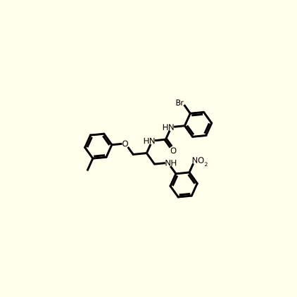 Cc1cccc(OCC(CNc2ccccc2[N+](=O)[O-])NC(=O)Nc2ccccc2Br)c1